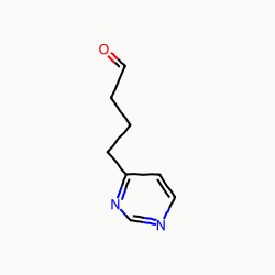 O=CCCCc1ccncn1